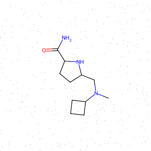 CN(CC1CCC(C(N)=O)N1)C1CCC1